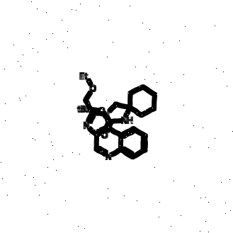 CCOCc1nc2cnc3ccccc3c2n1CC1(NC(=O)OC(C)(C)C)CCCCC1